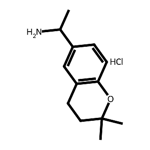 CC(N)c1ccc2c(c1)CCC(C)(C)O2.Cl